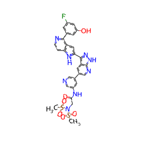 CS(=O)(=O)N(CC(=O)Nc1cncc(-c2cnc3[nH]nc(-c4cc5c(-c6cc(O)cc(F)c6)nccc5[nH]4)c3c2)c1)S(C)(=O)=O